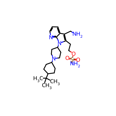 CC(C)(C)C1CCC(N2CCC(n3c(CCOS(N)(=O)=O)c(CN)c4cccnc43)CC2)CC1